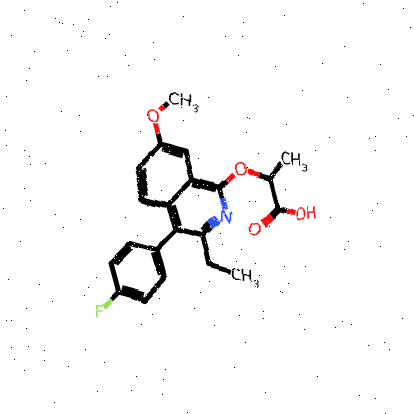 CCc1nc(OC(C)C(=O)O)c2cc(OC)ccc2c1-c1ccc(F)cc1